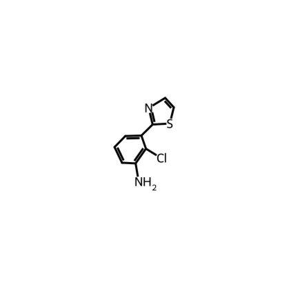 Nc1cccc(-c2nccs2)c1Cl